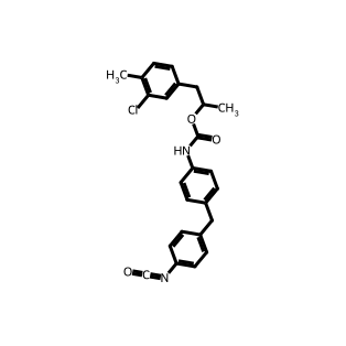 Cc1ccc(CC(C)OC(=O)Nc2ccc(Cc3ccc(N=C=O)cc3)cc2)cc1Cl